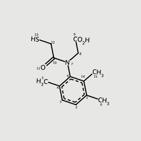 Cc1ccc(C)c(N(CC(=O)O)C(=O)CS)c1C